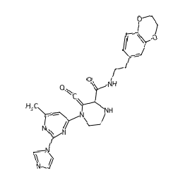 Cc1cc(N2CCNC(C(=O)NCCc3ccc4c(c3)OCCO4)C2=C=O)nc(-n2ccnc2)n1